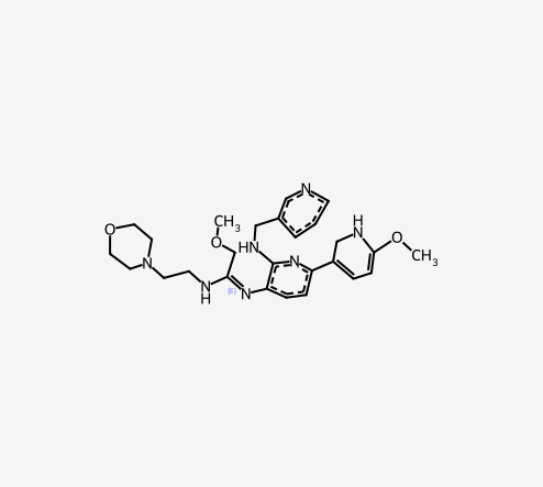 COC/C(=N\c1ccc(C2=CC=C(OC)NC2)nc1NCc1cccnc1)NCCN1CCOCC1